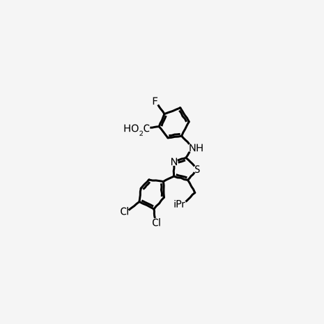 CC(C)Cc1sc(Nc2ccc(F)c(C(=O)O)c2)nc1-c1ccc(Cl)c(Cl)c1